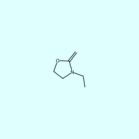 C=C1OCCN1CC